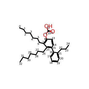 CCCCCCCc1c(OC(=O)O)ccc(-c2ccccc2CCC)c1CCCCCCC